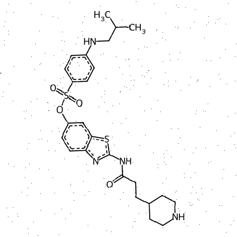 CC(C)CNc1ccc(S(=O)(=O)Oc2ccc3nc(NC(=O)CCC4CCNCC4)sc3c2)cc1